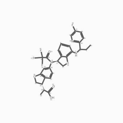 CCC(Nc1cccc2c1OC[C@H]2N(C(=O)C(F)(F)F)c1ccc2c(c1)OC[C@H]2C(C)C(=O)O)c1ccc(F)cn1